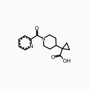 O=C(c1ccccn1)N1CCC(C2(C(=O)O)CC2)CC1